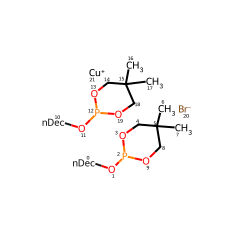 CCCCCCCCCCOP1OCC(C)(C)CO1.CCCCCCCCCCOP1OCC(C)(C)CO1.[Br-].[Cu+]